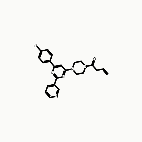 C=CCC(=O)N1CCN(c2cc(-c3ccc(Cl)cc3)nc(-c3cccnc3)n2)CC1